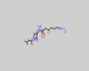 CC(C)CC(=O)N1CC(NC(=O)CCCCCN)C1